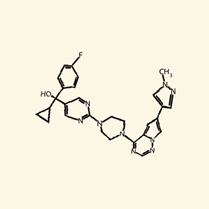 Cn1cc(-c2cc3c(N4CCN(c5ncc([C@@](O)(c6ccc(F)cc6)C6CC6)cn5)CC4)ncnn3c2)cn1